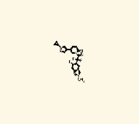 Cn1cc2cc(C(F)(F)c3nnc4ccc(-c5cnn(C6CC6)c5)cn34)c(F)cc2n1